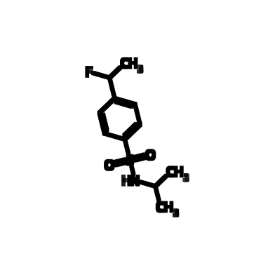 CC(C)NS(=O)(=O)c1ccc(C(C)F)cc1